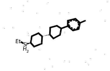 CC[SiH2][C@H]1CC[C@H](C2CCC(c3ccc(C)cc3)CC2)CC1